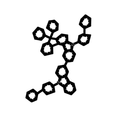 c1ccc(-c2ccc(-n3c4ccccc4c4cc(-c5ccc6c(c5)c5c7c(ccc5n6-c5cccc(-c6ccccc6)c5)C(c5ccccc5)(c5ccccc5)c5ccccc5-7)ccc43)cc2)cc1